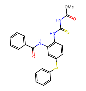 COC(=O)NC(=S)Nc1ccc(Sc2ccccc2)cc1NC(=O)c1ccccc1